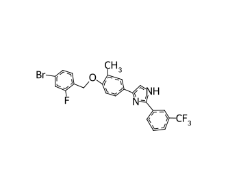 Cc1cc(-c2c[nH]c(-c3cccc(C(F)(F)F)c3)n2)ccc1OCc1ccc(Br)cc1F